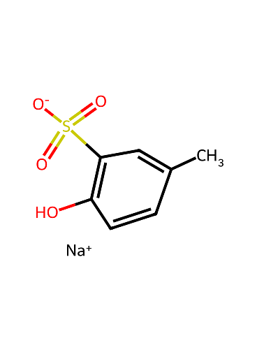 Cc1ccc(O)c(S(=O)(=O)[O-])c1.[Na+]